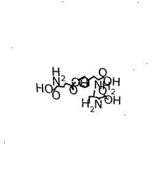 CCC(C)C(N)C(=O)O.NC(CCC(=O)O)C(=O)O.NC(Cc1ccccc1)C(=O)O